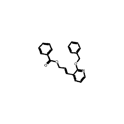 O=C(OCC=Cc1cccnc1OCc1ccccc1)c1ccccc1